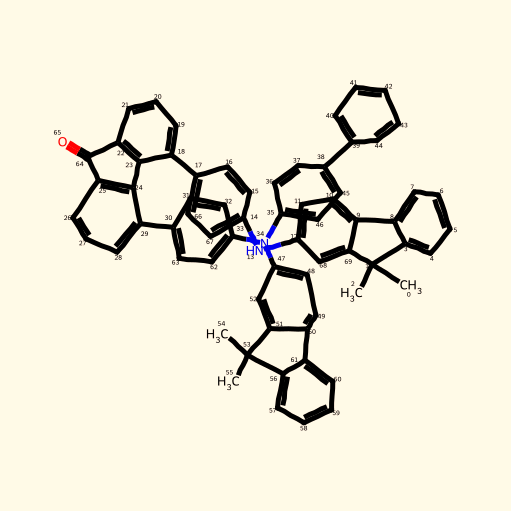 CC1(C)c2ccccc2-c2ccc(Nc3ccc(-c4cccc5c4-c4c(cccc4-c4ccc(N(c6ccc(-c7ccccc7)cc6)c6ccc7c(c6)C(C)(C)c6ccccc6-7)cc4)C5=O)cc3)cc21